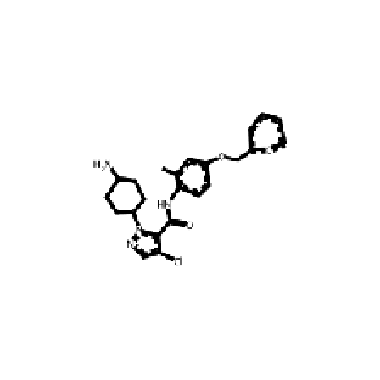 Cc1cc(OCc2ccccc2)ccc1NC(=O)c1c(Cl)cnn1C1CCC(N)CC1